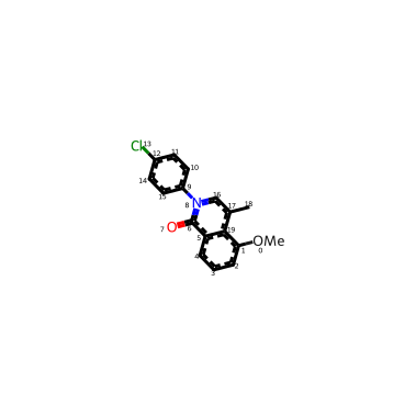 COc1cccc2c(=O)n(-c3ccc(Cl)cc3)cc(C)c12